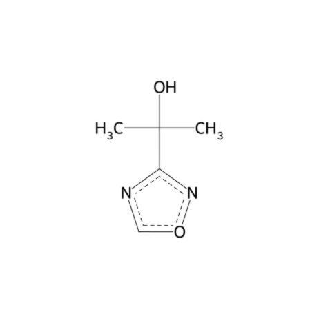 CC(C)(O)c1ncon1